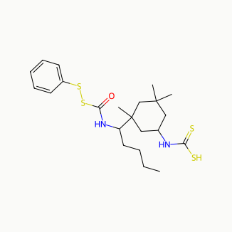 CCCCC(NC(=O)SSc1ccccc1)C1(C)CC(NC(=S)S)CC(C)(C)C1